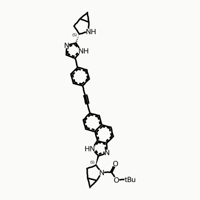 CC(C)(C)OC(=O)N1C2CC2C[C@H]1c1nc2ccc3cc(C#Cc4ccc(-c5cnc([C@@H]6CC7CC7N6)[nH]5)cc4)ccc3c2[nH]1